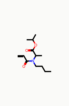 C=CC(=O)N(CCCC)C(C)C(=O)OC(C)C